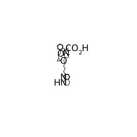 O=C(O)C(c1ccccc1OCC1CC1)N1CC[C@@H](OCCCCc2ccc3c(n2)NCCC3)C1